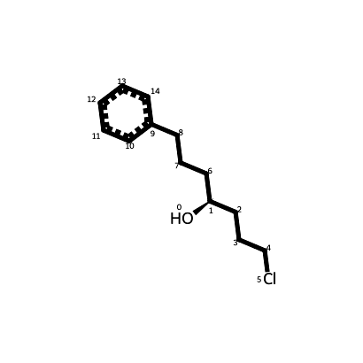 O[C@H](CCCCl)CCCc1ccccc1